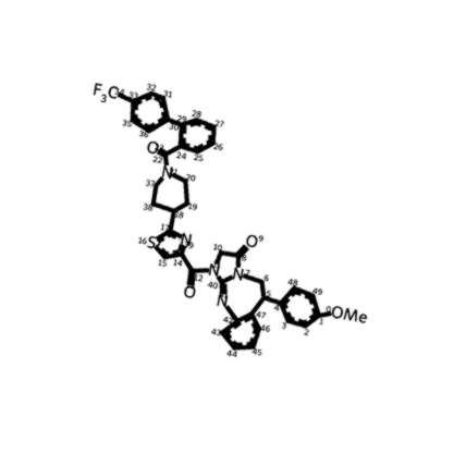 COc1ccc(C2CN3C(=O)CN(C(=O)c4csc(C5CCN(C(=O)c6ccccc6-c6ccc(C(F)(F)F)cc6)CC5)n4)C3=Nc3ccccc32)cc1